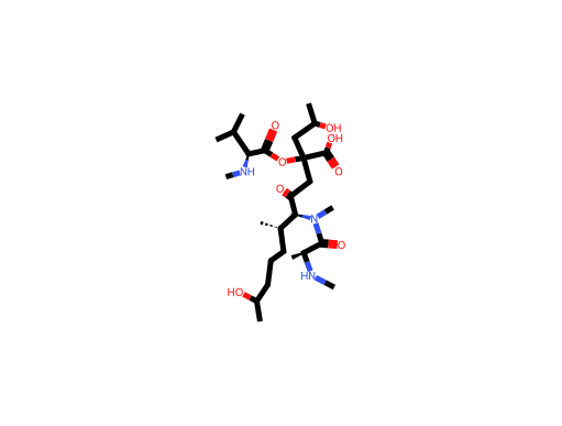 CN[C@@H](C)C(=O)N(C)[C@H](C(=O)CC(CC(C)O)(OC(=O)[C@@H](NC)C(C)C)C(=O)O)[C@@H](C)CCCC(C)O